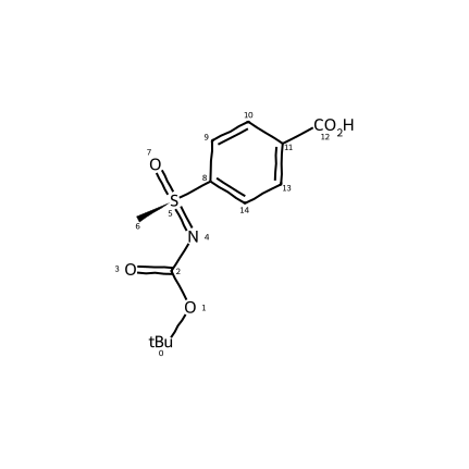 CC(C)(C)OC(=O)N=[S@](C)(=O)c1ccc(C(=O)O)cc1